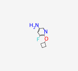 Nc1cnc(OC2CCC2)c(F)c1